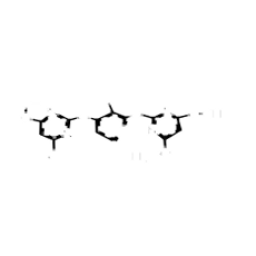 COc1cc(OC)nc(Oc2cccc(Oc3nc(OC)cc(OC)n3)c2C)n1